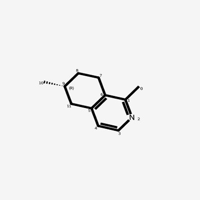 Cc1nccc2c1CC[C@@H](C)C2